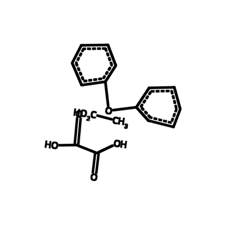 CC(=O)O.O=C(O)C(=O)O.c1ccc(Oc2ccccc2)cc1